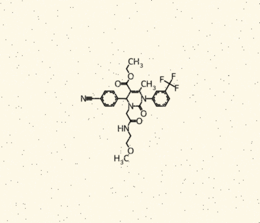 CCOC(=O)C1=C(C)N(c2cccc(C(F)(F)F)c2)C(=O)N(CC(=O)NCCOC)C1c1ccc(C#N)cc1